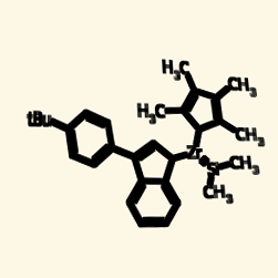 CC1=C(C)[CH]([Zr]([CH]2C=C(c3ccc(C(C)(C)C)cc3)c3ccccc32)=[Si](C)C)C(C)=C1C